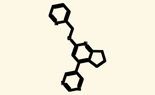 c1ccc(COc2cc(-c3cncnc3)c3c(n2)CCC3)nc1